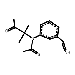 CC(=O)C(C)(C)N(C(C)=S)c1cccc(C=N)c1